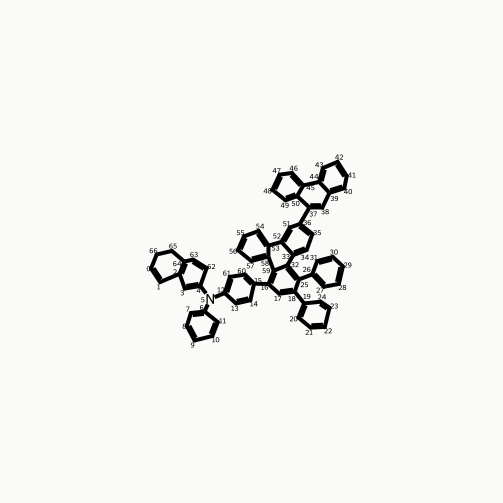 C1=Cc2cc(N(c3ccccc3)c3ccc(-c4cc(-c5ccccc5)c(-c5ccccc5)c5c6ccc(-c7cc8ccccc8c8ccccc78)cc6c6ccccc6c45)cc3)ccc2CC1